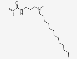 C=C(C)C(=O)NCCCN(C)CCCCCCCCCCCCC